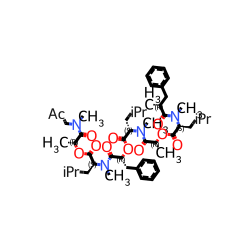 CC(=O)CN(C)C(=O)[C@@H](C)OC(=O)[C@H](CC(C)C)N(C)C(=O)[C@@H](Cc1ccccc1)OC(=O)[C@H](CC(C)C)N(C)C(=O)[C@@H](C)OC(=O)[C@H](CC(C)C)N(C)C(=O)[C@H](C)Cc1ccccc1